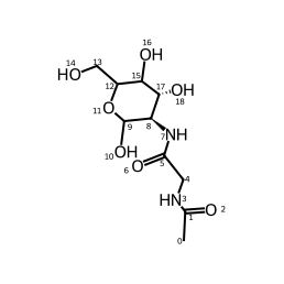 CC(=O)NCC(=O)N[C@H]1C(O)OC(CO)C(O)[C@@H]1O